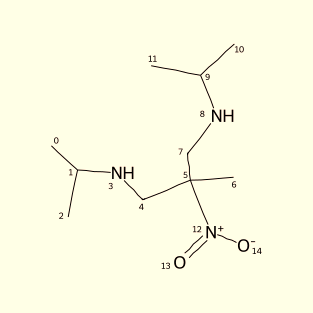 CC(C)NCC(C)(CNC(C)C)[N+](=O)[O-]